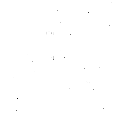 CC(=O)C1CCN(C(=O)C(C)(C)C)CC1